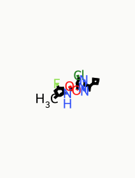 Cc1cc(F)cc(NC(=O)Oc2cc(Cl)nc3c(C4CCC4)cnn23)c1